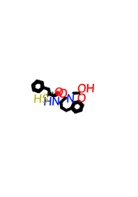 O=C(O)CN1C(=O)C(NC(=O)[C@H](S)Cc2ccccc2)CCc2ccccc21